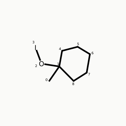 CC1(OI)CCCCC1